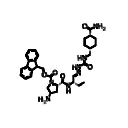 CC[C@@H](/C=N/NC(=O)NC[C@H]1CC[C@H](C(N)=O)CC1)NC(=O)[C@@H]1C[C@@H](N)CN1C(=O)OCC1c2ccccc2-c2ccccc21